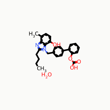 CCCCc1nc2c(C)ccc(O)c2n1Cc1ccc(-c2ccccc2OC(=O)O)cc1.O